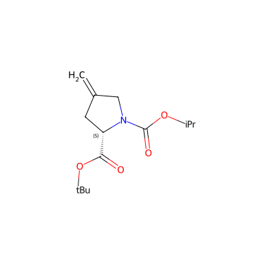 C=C1C[C@@H](C(=O)OC(C)(C)C)N(C(=O)OC(C)C)C1